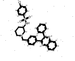 O=S(=O)(NC1CCCN(Cc2ccc(-c3nc4ccccc4nc3-c3ccccc3)cc2)C1)c1ccc(Cl)cc1